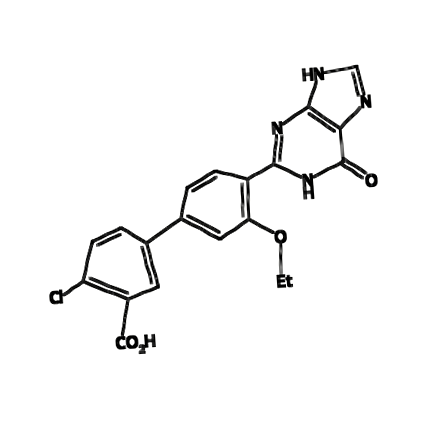 CCOc1cc(-c2ccc(Cl)c(C(=O)O)c2)ccc1-c1nc2[nH]cnc2c(=O)[nH]1